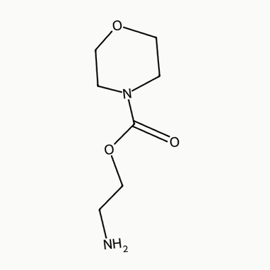 NCCOC(=O)N1CCOCC1